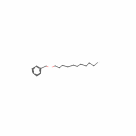 CC(C)CCCCCCCCCCOCc1ccccc1